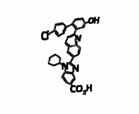 O=C(O)c1ccc2c(c1)nc(-c1ccc3nc(-c4cc(O)ccc4-c4ccc(Cl)cc4)ccc3c1)n2C1CCCCC1